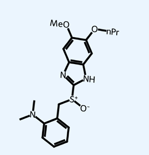 CCCOc1cc2[nH]c([S+]([O-])Cc3ccccc3N(C)C)nc2cc1OC